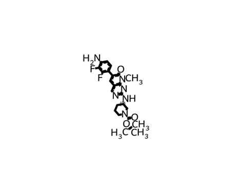 Cn1c(=O)c(-c2ccc(N)c(F)c2F)cc2cnc(N[C@H]3CCCN(C(=O)OC(C)(C)C)C3)nc21